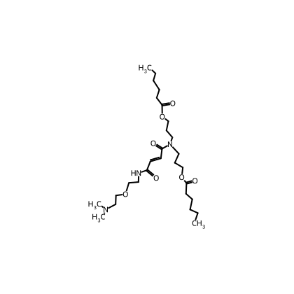 CCCCCC(=O)OCCCN(CCCOC(=O)CCCCC)C(=O)C=CC(=O)NCCOCCN(C)C